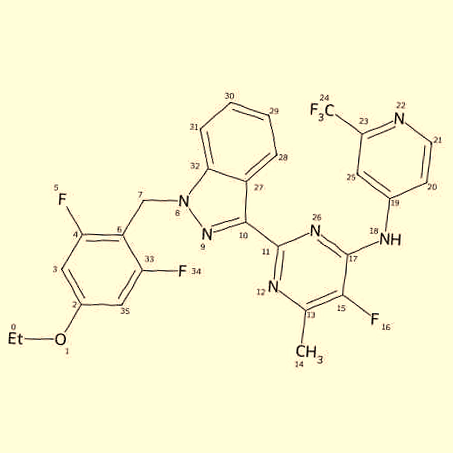 CCOc1cc(F)c(Cn2nc(-c3nc(C)c(F)c(Nc4ccnc(C(F)(F)F)c4)n3)c3ccccc32)c(F)c1